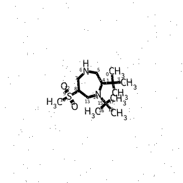 CC(C)(C)C1CNCC(S(C)(=O)=O)CN1C(C)(C)C